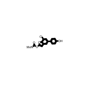 CNC(=O)Oc1cc2cc(-c3ccc(O)cc3)cc(Cl)c2o1